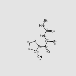 CCNC(=O)N[C@H](C(=O)N1CCC[C@H]1C#N)C(C)C